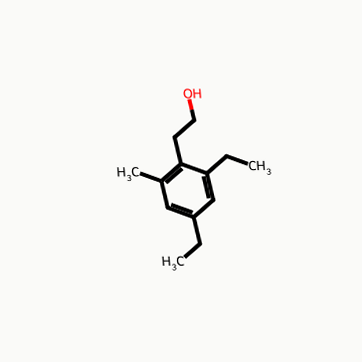 CCc1cc(C)c(CCO)c(CC)c1